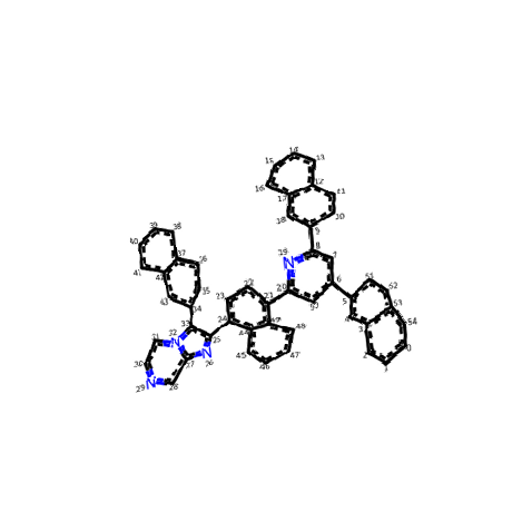 c1ccc2cc(-c3cc(-c4ccc5ccccc5c4)nc(-c4ccc(-c5nc6cnccn6c5-c5ccc6ccccc6c5)c5ccccc45)c3)ccc2c1